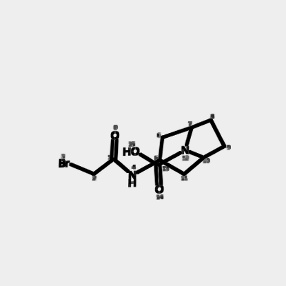 O=C(CBr)NC1CC2CCC(C1)N2C(=O)O